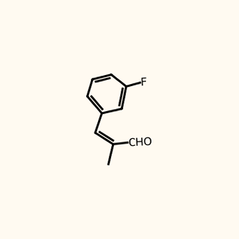 C/C(C=O)=C/c1cccc(F)c1